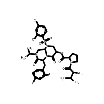 CC(C)C(N)C(=O)N1CCCC1C(=O)NC1CN(S(=O)(=O)c2ccc(Cl)cc2Cl)C2CN(C(C)C)C(=O)C(Cc3ccc(F)cc3F)N2C1=O